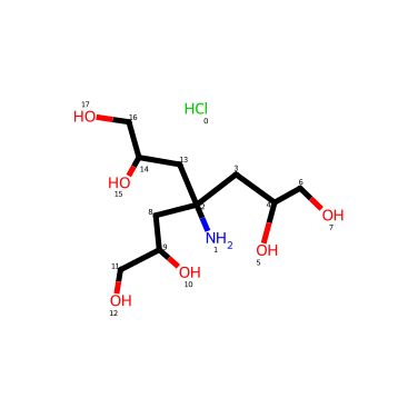 Cl.NC(CC(O)CO)(CC(O)CO)CC(O)CO